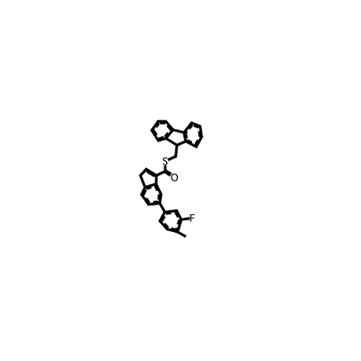 Cc1ccc(-c2ccc3c(c2)C(C(=O)SCC2c4ccccc4-c4ccccc42)=CC3)cc1F